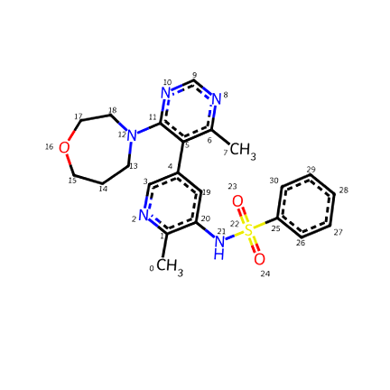 Cc1ncc(-c2c(C)ncnc2N2CCCOCC2)cc1NS(=O)(=O)c1ccccc1